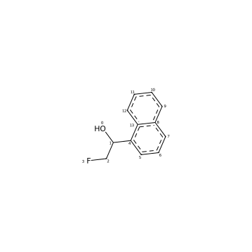 OC(CF)c1cccc2ccccc12